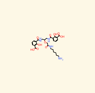 NCCCCCCNC(=O)COC(CNC(=O)c1cccc(C(=O)O)c1O)CNC(=O)c1cccc(C(=O)O)c1O